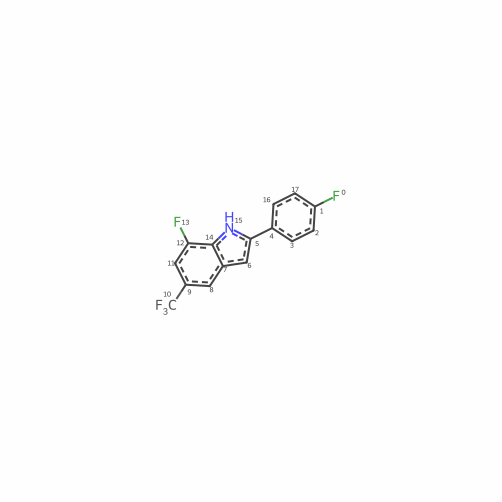 Fc1ccc(-c2cc3cc(C(F)(F)F)cc(F)c3[nH]2)cc1